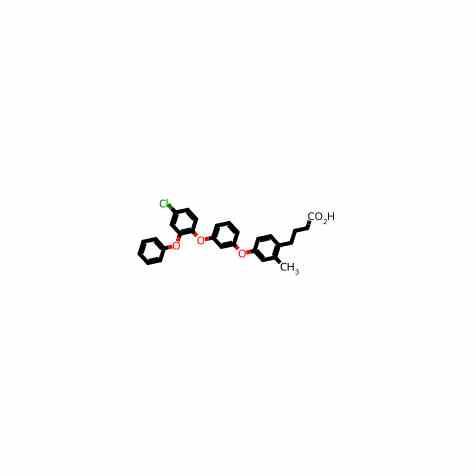 Cc1cc(Oc2cccc(Oc3ccc(Cl)cc3Oc3ccccc3)c2)ccc1CCCC(=O)O